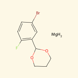 Fc1ccc(Br)cc1C1OCCCO1.[MgH2]